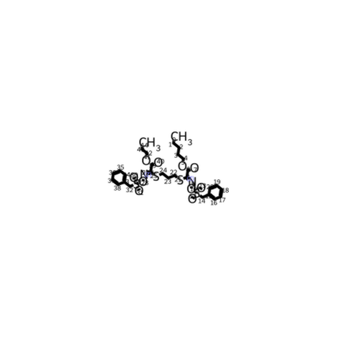 CCCCCOC(=O)/C(=N/OS(=O)(=O)Cc1ccccc1)SCCCS/C(=N\OS(=O)(=O)Cc1ccccc1)C(=O)OCCC